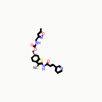 Cc1cc(CNC(=O)OC[C@@H]2CCc3c(sc(NC(=O)C=Cc4cccnc4)c3C#N)C2)no1